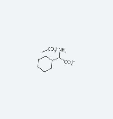 CC(=O)O.NC(C(=O)O)C1CCCCC1